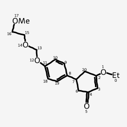 CCOC1=CC(=O)CC(c2ccc(OCOCCOC)cc2)C1